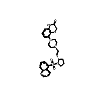 O=C1COc2c(cccc2N2CCN(CC[C@@H]3CCCN3S(=O)(=O)c3cccc4ncccc34)CC2)N1